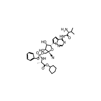 CC(C)[C@H](N)C(=O)Nc1ncnn2c([C@@H]3O[C@](C#N)(COP(=O)(N[C@@H](C)C(=O)OC4CCCCC4)Oc4ccccc4)[C@@H](O)[C@H]3O)ccc12